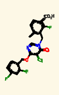 Cc1ccc(C(=O)O)c(F)c1Cn1cnc(OCc2ccc(F)cc2F)c(Cl)c1=O